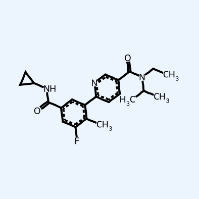 CCN(C(=O)c1ccc(-c2cc(C(=O)NC3CC3)cc(F)c2C)nc1)C(C)C